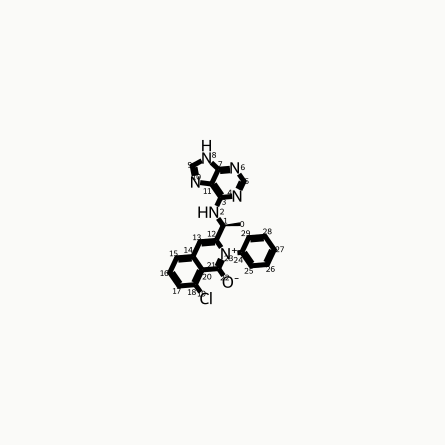 C[C@H](Nc1ncnc2[nH]cnc12)c1cc2cccc(Cl)c2c([O-])[n+]1-c1ccccc1